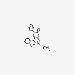 C=CCN1C=C2CC(=O)C(c3ccoc3)C=C2C(c2ccccc2)=C1C#N